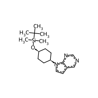 CC(C)(C)[Si](C)(C)O[C@H]1CC[C@@H](n2ccc3cncnc32)CC1